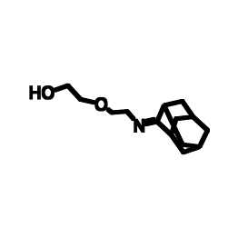 OCCOCCN=C1C2CC3CC(C2)CC1C3